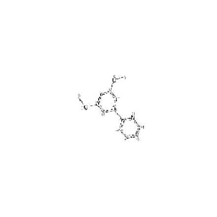 COc1cc(OC)cc(-c2ccn[c]n2)c1